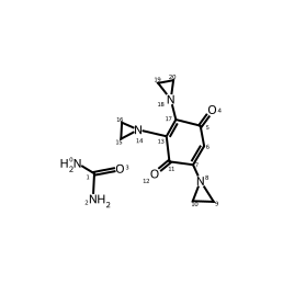 NC(N)=O.O=C1C=C(N2CC2)C(=O)C(N2CC2)=C1N1CC1